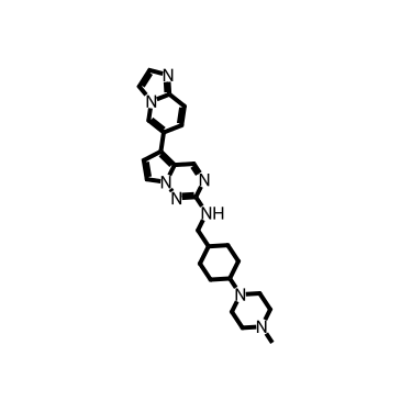 CN1CCN(C2CCC(CNc3ncc4c(-c5ccc6nccn6c5)ccn4n3)CC2)CC1